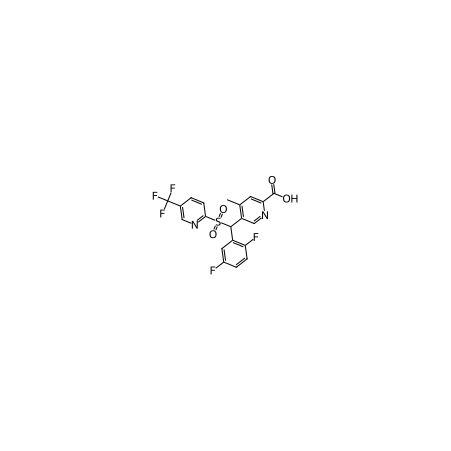 Cc1cc(C(=O)O)ncc1C(c1cc(F)ccc1F)S(=O)(=O)c1ccc(C(F)(F)F)cn1